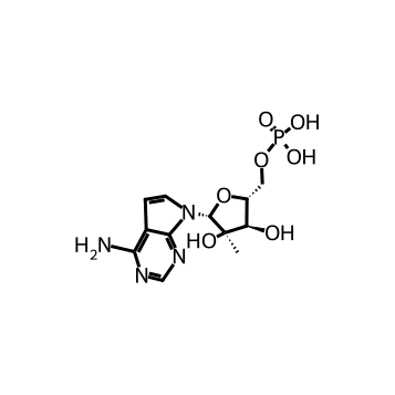 C[C@@]1(O)[C@H](O)[C@@H](COP(=O)(O)O)O[C@H]1n1ccc2c(N)ncnc21